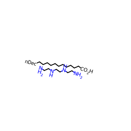 CCCCCCCCCCCCCCCCCCCCCC(=O)O.NCCNCCNCCN